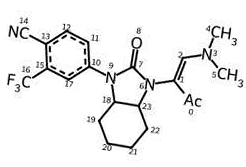 CC(=O)/C(=C\N(C)C)N1C(=O)N(c2ccc(C#N)c(C(F)(F)F)c2)C2CCCCC21